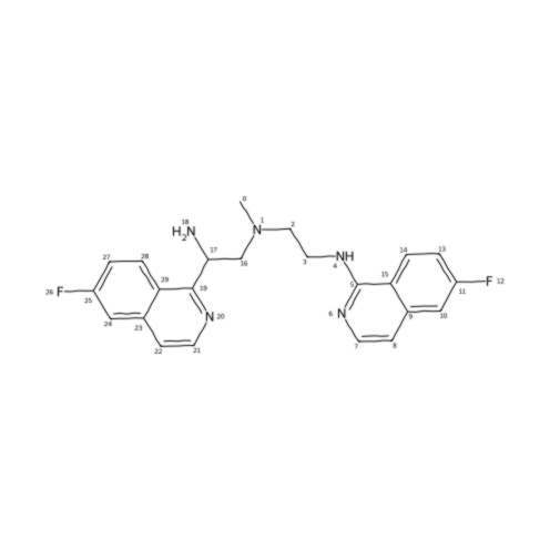 CN(CCNc1nccc2cc(F)ccc12)CC(N)c1nccc2cc(F)ccc12